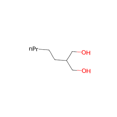 CCCCCC(CO)CO